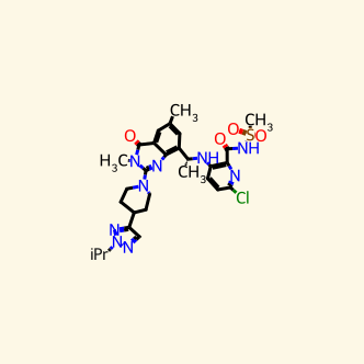 Cc1cc([C@@H](C)Nc2ccc(Cl)nc2C(=O)NS(C)(=O)=O)c2nc(N3CCC(c4cnn(C(C)C)n4)CC3)n(C)c(=O)c2c1